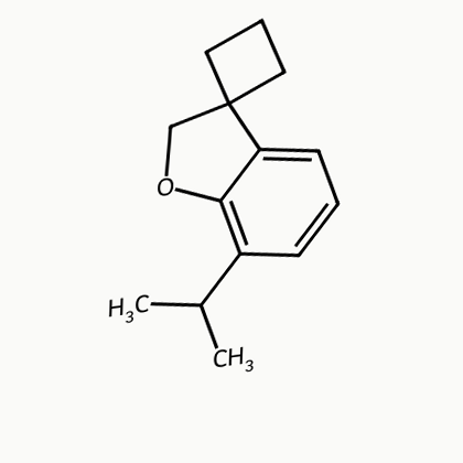 CC(C)c1cccc2c1OCC21CCC1